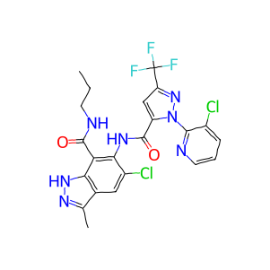 CCCNC(=O)c1c(NC(=O)c2cc(C(F)(F)F)nn2-c2ncccc2Cl)c(Cl)cc2c(C)n[nH]c12